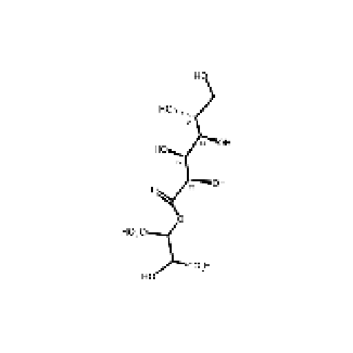 O=C(O)C(O)C(OC(=O)[C@H](O)[C@@H](O)[C@H](O)[C@H](O)CO)C(=O)O